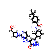 Cc1c(NC(=O)c2ccc(C(C)(C)C)cc2)cccc1-c1cc(Nc2ccnc(N3CCC(CO)C3)n2)c(=O)[nH]n1